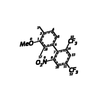 COc1c(C)ccc(-c2c([N+](=O)[O-])cc(C(F)(F)F)cc2C(F)(F)F)c1C